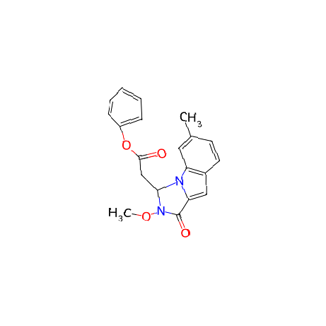 CON1C(=O)c2cc3ccc(C)cc3n2C1CC(=O)Oc1ccccc1